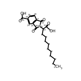 CCCCCCCCCCC(C(=O)O)N1C(=O)c2ccc(C(=O)O)cc2C1=O